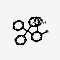 Brc1cccc(C(c2ccccc2)(c2ccccc2)c2ccccc2)c1-c1nnn[nH]1